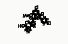 COc1cc(Cl)cc(C(=O)Nc2ccc(Cl)cn2)c1NC(=O)c1scc(-n2cncc2CO)c1Cl